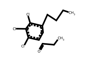 CCC=O.CCCCc1ccc(Cl)c(Cl)c1Cl